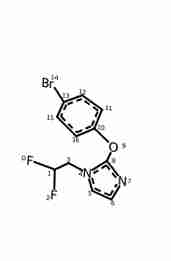 FC(F)Cn1ccnc1Oc1ccc(Br)cc1